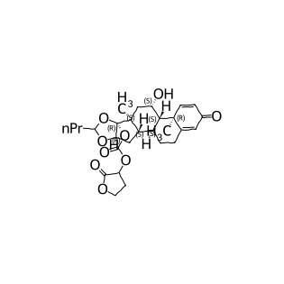 CCCC1O[C@@H]2C[C@H]3[C@@H]4CCC5=CC(=O)C=C[C@]5(C)[C@H]4[C@@H](O)C[C@]3(C)[C@]2(OC(=O)OC2CCOC2=O)O1